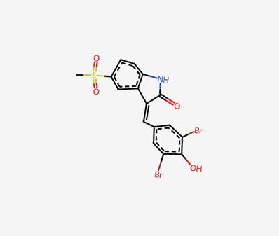 CS(=O)(=O)c1ccc2c(c1)C(=Cc1cc(Br)c(O)c(Br)c1)C(=O)N2